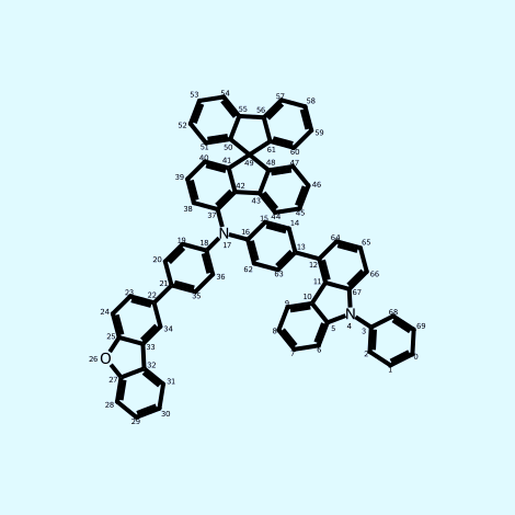 c1ccc(-n2c3ccccc3c3c(-c4ccc(N(c5ccc(-c6ccc7oc8ccccc8c7c6)cc5)c5cccc6c5-c5ccccc5C65c6ccccc6-c6ccccc65)cc4)cccc32)cc1